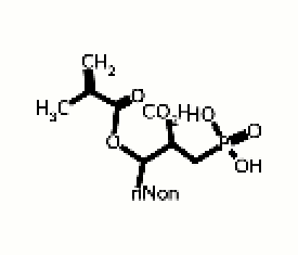 C=C(C)C(=O)OC(CCCCCCCCC)C(CP(=O)(O)O)C(=O)O